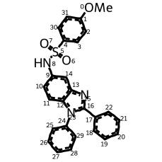 COc1ccc(S(=O)(=O)Nc2ccc3c(c2)nc(-c2ccccc2)n3-c2ccccc2)cc1